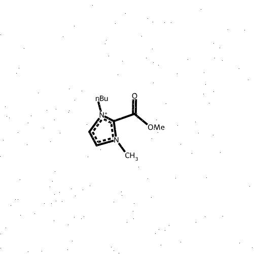 CCCC[n+]1ccn(C)c1C(=O)OC